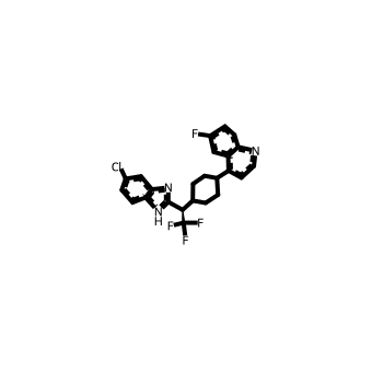 Fc1ccc2nccc(C3CCC([C@H](c4nc5cc(Cl)ccc5[nH]4)C(F)(F)F)CC3)c2c1